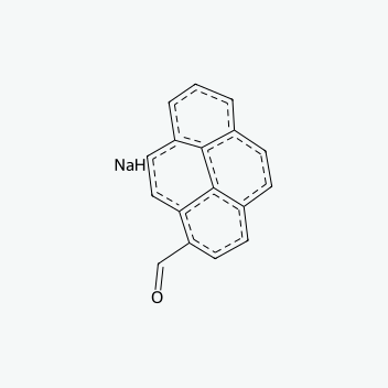 O=Cc1ccc2ccc3cccc4ccc1c2c34.[NaH]